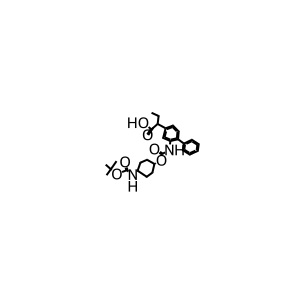 CCC(C(=O)O)c1ccc(-c2ccccc2)c(NC(=O)O[C@H]2CC[C@H](NC(=O)OC(C)(C)C)CC2)c1